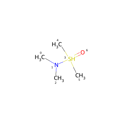 CN(C)[SH](C)(C)=O